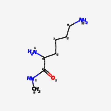 CNC(=O)C(N)CCCCN